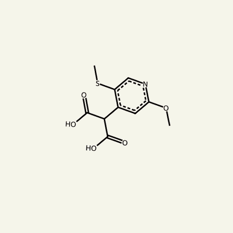 COc1cc(C(C(=O)O)C(=O)O)c(SC)cn1